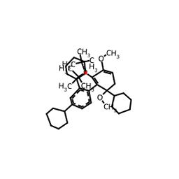 COC1=CCC(OC)(C2CCCCC2)C(c2ccc(C3CCCCC3)cc2C2CCCCC2)=C1P(C(C)(C)C)C(C)(C)C